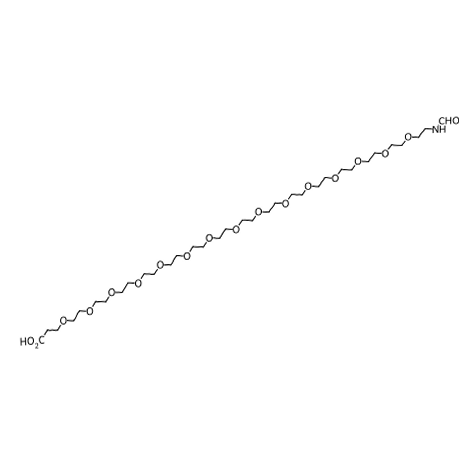 O=CNCCOCCOCCOCCOCCOCCOCCOCCOCCOCCOCCOCCOCCOCCOCCOCCC(=O)O